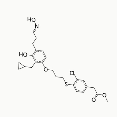 COC(=O)Cc1ccc(SCCCOc2ccc(CCC=NO)c(O)c2CC2CC2)c(Cl)c1